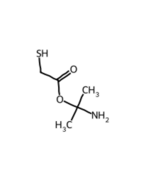 CC(C)(N)OC(=O)CS